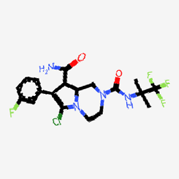 CC(C)(NC(=O)N1CCN2C(Cl)=C(c3cccc(F)c3)C(C(N)=O)C2C1)C(F)(F)F